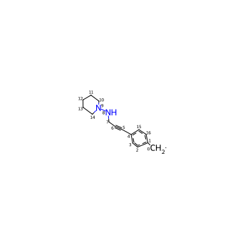 [CH2]c1ccc(C#CCNN2CCCCC2)cc1